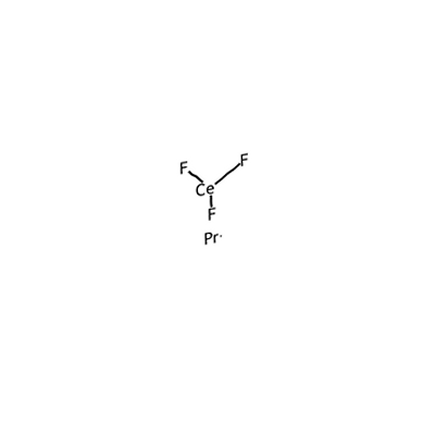 [F][Ce]([F])[F].[Pr]